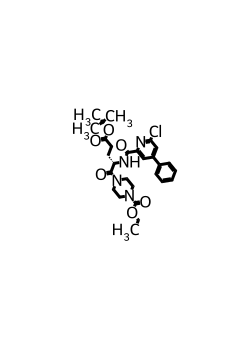 CCOC(=O)N1CCN(C(=O)[C@H](CCC(=O)OC(C)(C)C)NC(=O)c2cc(-c3ccccc3)cc(Cl)n2)CC1